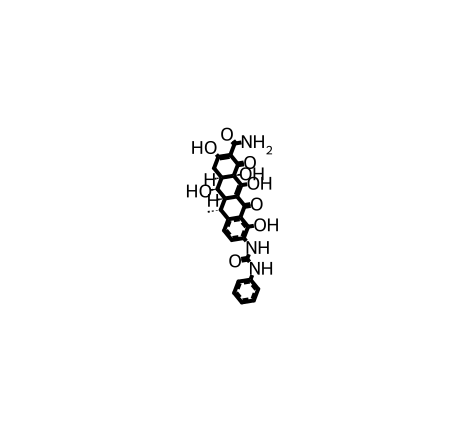 C[C@H]1c2ccc(NC(=O)Nc3ccccc3)c(O)c2C(=O)C2=C(O)[C@]3(O)C(=O)C(C(N)=O)=C(O)C[C@@H]3[C@@H](O)[C@@H]21